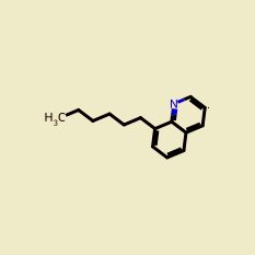 CCCCCCc1cccc2c[c]cnc12